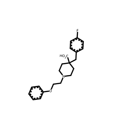 O=C(O)C1(Cc2ccc(F)cc2)CCN(CCOc2ccccc2)CC1